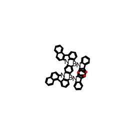 c1ccc2c(c1)ccc1c2c2cccc3c2n1-c1cc2c(cc1B3n1c3ccccc3c3ccccc31)B(n1c3ccccc3c3ccccc31)c1cccc3c4c5ccccc5ccc4n-2c13